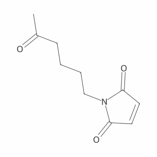 CC(=O)CCCCN1C(=O)C=CC1=O